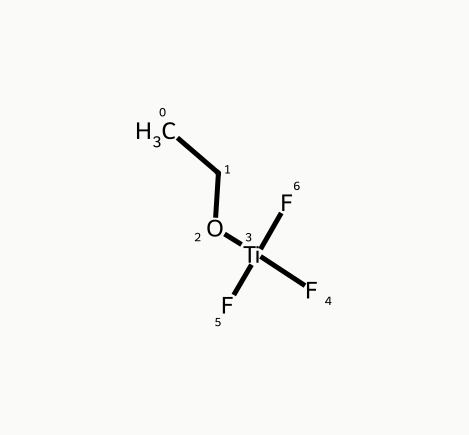 CC[O][Ti]([F])([F])[F]